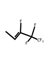 CC=C(F)C(F)(F)C(F)(F)F